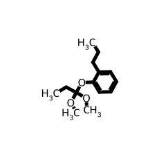 CCCc1ccccc1OC(CC)(OC)OC